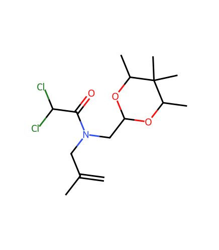 C=C(C)CN(CC1OC(C)C(C)(C)C(C)O1)C(=O)C(Cl)Cl